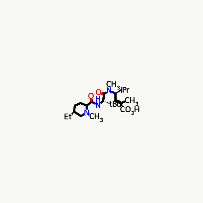 CC[C@H]1CCC(C(=O)N[C@H](C(=O)N(C)[C@H](/C=C(\C)C(=O)O)C(C)C)C(C)(C)C)N(C)C1